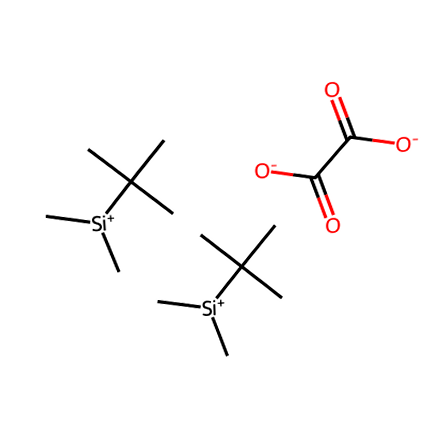 C[Si+](C)C(C)(C)C.C[Si+](C)C(C)(C)C.O=C([O-])C(=O)[O-]